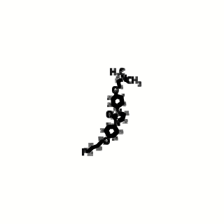 CN(C)CCOc1ccc(-n2ccn(-c3ccc(OCCCCF)cc3)c2=O)cc1